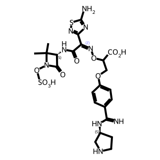 CC1(C)[C@H](NC(=O)/C(=N\OC(COc2ccc(C(=N)N[C@H]3CCNC3)cc2)C(=O)O)c2nsc(N)n2)C(=O)N1OS(=O)(=O)O